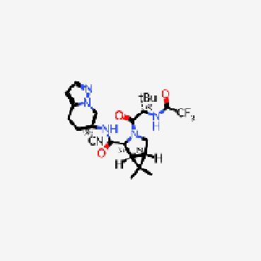 CC(C)(C)[C@H](NC(=O)C(F)(F)F)C(=O)N1C[C@H]2[C@@H]([C@H]1C(=O)N[C@@]1(C#N)CCc3ccnn3C1)C2(C)C